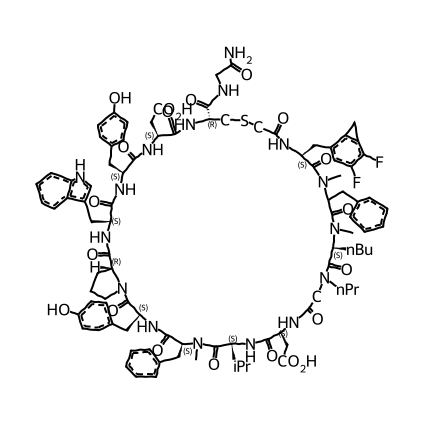 CCCC[C@H]1C(=O)N(CCC)CC(=O)N[C@@H](CC(=O)O)C(=O)N[C@@H](C(C)C)C(=O)N(C)[C@@H](Cc2ccccc2)C(=O)N[C@@H](Cc2ccc(O)cc2)C(=O)N2CCC[C@@H]2C(=O)N[C@@H](Cc2c[nH]c3ccccc23)C(=O)N[C@@H](Cc2ccc(O)cc2)C(=O)N[C@@H](CC(=O)O)C(=O)N[C@H](C(=O)NCC(N)=O)CSCC(=O)N[C@@H](Cc2cc(F)c(F)c3c2C3)C(=O)N(C)C(Cc2ccccc2)C(=O)N1C